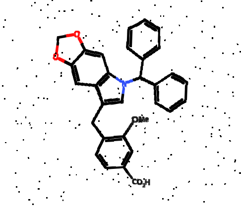 COc1cc(C(=O)O)ccc1Cc1cn(C(c2ccccc2)c2ccccc2)c2cc3c(cc12)OCO3